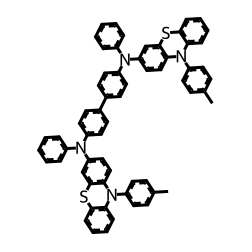 Cc1ccc(N2c3ccccc3Sc3cc(N(c4ccccc4)c4ccc(-c5ccc(N(c6ccccc6)c6ccc7c(c6)Sc6ccccc6N7c6ccc(C)cc6)cc5)cc4)ccc32)cc1